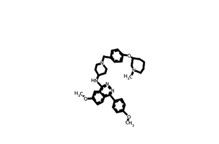 COc1ccc(-c2nnc(NC3CCN(Cc4ccc(OC5CCCCN(C)C5)cc4)CC3)c3cc(OC)ccc23)cc1